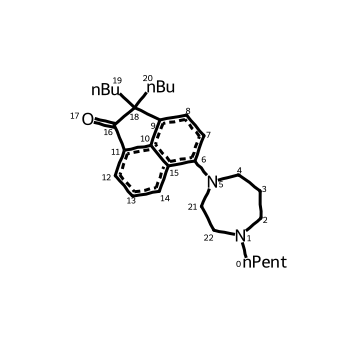 CCCCCN1CCCN(c2ccc3c4c(cccc24)C(=O)C3(CCCC)CCCC)CC1